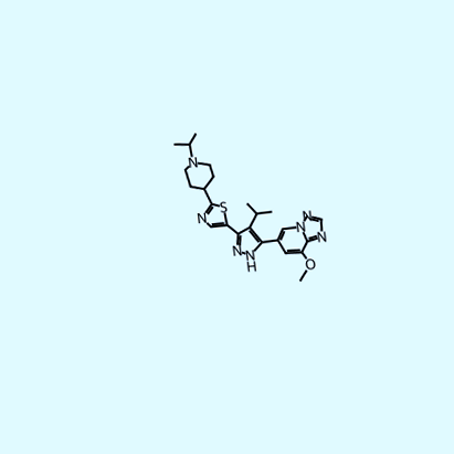 COc1cc(-c2[nH]nc(-c3cnc(C4CCN(C(C)C)CC4)s3)c2C(C)C)cn2ncnc12